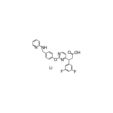 O=C(O)CC(c1cc(F)cc(F)c1)c1ccnc(Oc2ccc(CNc3ccccn3)cc2)n1.[Li]